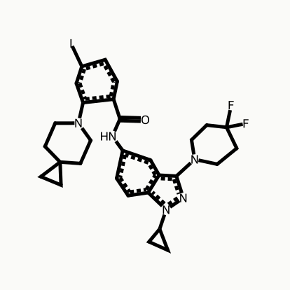 O=C(Nc1ccc2c(c1)c(N1CCC(F)(F)CC1)nn2C1CC1)c1ccc(I)cc1N1CCC2(CC1)CC2